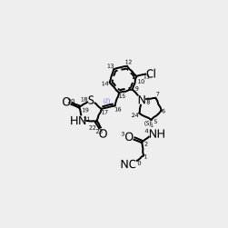 N#CCC(=O)N[C@H]1CCN(c2c(Cl)cccc2/C=C2\SC(=O)NC2=O)C1